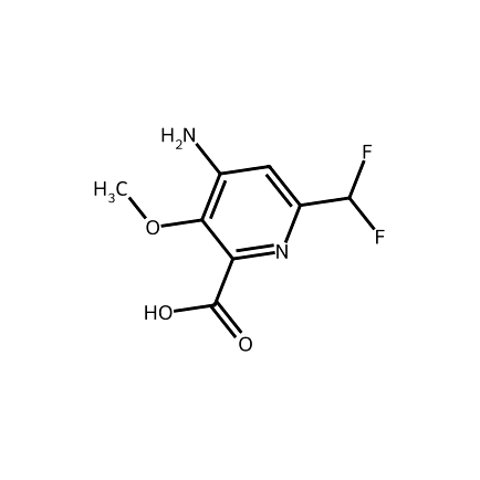 COc1c(N)cc(C(F)F)nc1C(=O)O